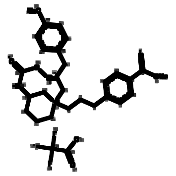 COC(=O)c1ccc(CCC[N+]2(CCCc3ccc(OC)cc3)CCCC(NC(=O)OC(C)(C)C)C2)cc1.O=C([O-])C(F)(F)F